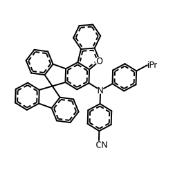 CC(C)c1ccc(N(c2ccc(C#N)cc2)c2cc3c(c4c2oc2ccccc24)-c2ccccc2C32c3ccccc3-c3ccccc32)cc1